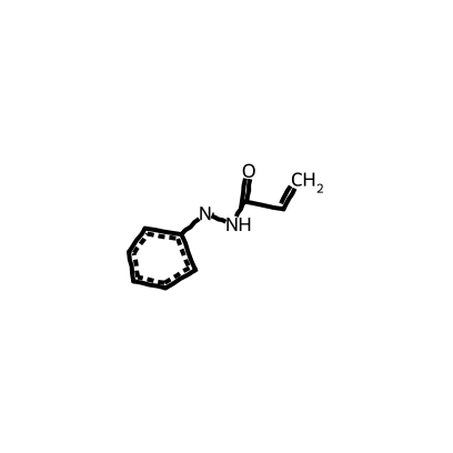 C=CC(=O)N[N]c1ccccc1